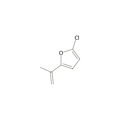 C=C(C)c1ccc(Cl)o1